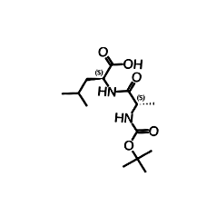 CC(C)C[C@H](NC(=O)[C@H](C)NC(=O)OC(C)(C)C)C(=O)O